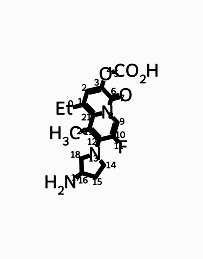 CCc1cc(OC(=O)O)c(=O)n2cc(F)c(N3CCC(N)C3)c(C)c12